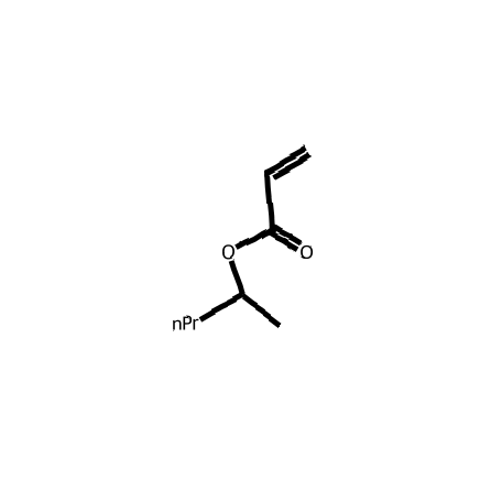 [CH2]CCC(C)OC(=O)C=C